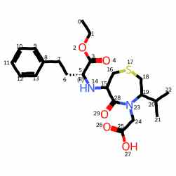 CCOC(=O)[C@@H](CCc1ccccc1)NC1CSCC(C(C)C)N(CC(=O)O)C1=O